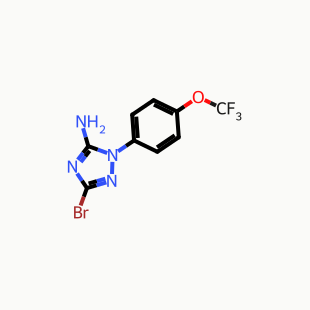 Nc1nc(Br)nn1-c1ccc(OC(F)(F)F)cc1